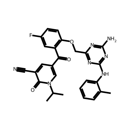 Cc1ccccc1Nc1nc(N)nc(COc2ccc(F)cc2C(=O)c2cc(C#N)c(=O)n(C(C)C)c2)n1